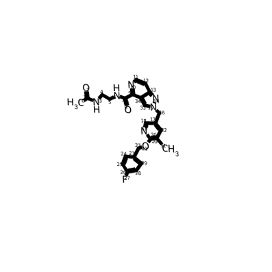 CC(=O)NCCNC(=O)c1nccc2nn(Cc3cnc(OCc4ccc(F)cc4)c(C)c3)cc12